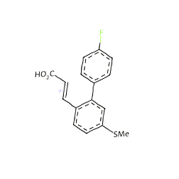 CSc1ccc(/C=C/C(=O)O)c(-c2ccc(F)cc2)c1